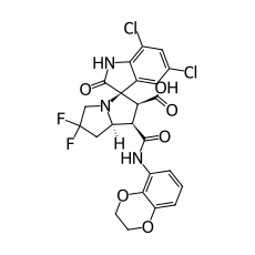 O=C(Nc1cccc2c1OCCO2)[C@H]1[C@H]2CC(F)(F)CN2[C@]2(C(=O)Nc3c(Cl)cc(Cl)cc32)[C@H]1C(=O)O